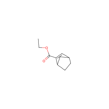 CCOC(=O)C1=CC2CCC1C2